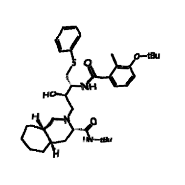 Cc1c(OC(C)(C)C)cccc1C(=O)N[C@@H](CSc1ccccc1)[C@H](O)CN1C[C@H]2CCCC[C@H]2C[C@H]1C(=O)NC(C)(C)C